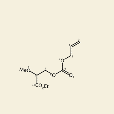 C=CCOC(=O)OCC(OC)C(=O)OCC